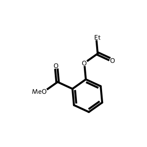 [CH2]CC(=O)Oc1ccccc1C(=O)OC